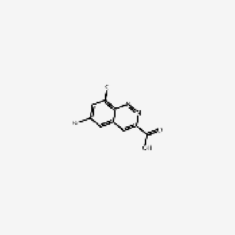 O=C(O)c1cc2cc(Br)cc(Cl)c2nn1